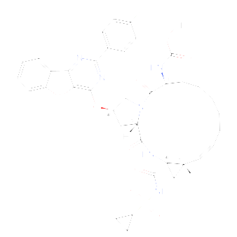 COC(=O)N[C@H]1CCCCC/C=C\[C@@H]2C[C@@]2(C(=O)NS(=O)(=O)C2CC2)NC(=O)[C@@H]2C[C@@H](Oc3nc(-c4ccc(F)cc4)nc4c3oc3ccccc34)CN2C1=O